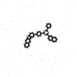 c1ccc(-c2nc(-c3ccc(-c4ccc5oc6cc7ccccc7cc6c5c4)cc3)nc(-c3ccc4ccccc4c3)n2)cc1